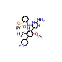 Cc1cc(-c2cnc(N)nc2Nc2ccccc2S(=O)(=O)C(C)C)c(OC(C)C)cc1C1CCNCC1